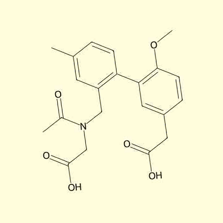 COc1ccc(CC(=O)O)cc1-c1ccc(C)cc1CN(CC(=O)O)C(C)=O